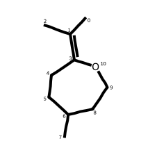 CC(C)=C1CCC(C)CCO1